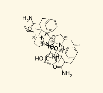 C=CC[C@H]1CC[C@H](N(c2ccccc2)[C@H]2CC[C@H](CC=C)N2[C@]2(C(=O)NC(=O)O)c3ccc(cc3)CC(C(N)=O)C2(C)C)N1[C@]1(C(=O)NC(=O)O)c2ccc(cc2)CC(C(N)=O)C1(C)C